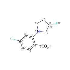 O=C(O)c1ccc(F)cc1N1CC[C@H](F)C1